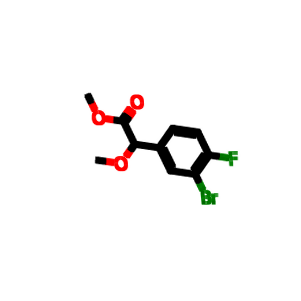 COC(=O)C(OC)c1ccc(F)c(Br)c1